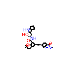 CNC(=O)c1ccc(C#Cc2cc3c(c(C(=O)N[C@@H](CO)Cc4c[nH]c5ccccc45)c2)OC(C)(C)C=C3)cc1